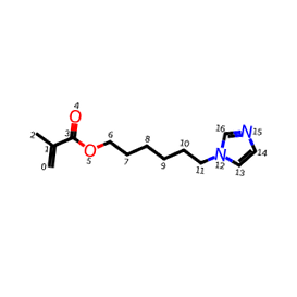 C=C(C)C(=O)OCCCCCCn1ccnc1